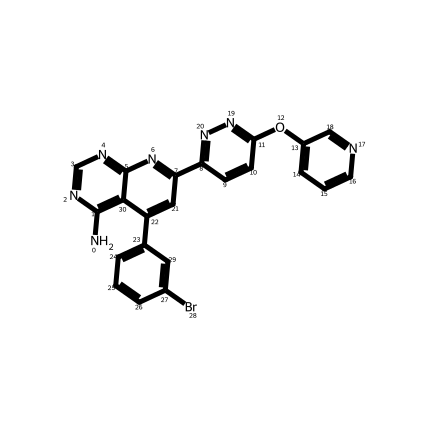 Nc1ncnc2nc(-c3ccc(Oc4cccnc4)nn3)cc(-c3cccc(Br)c3)c12